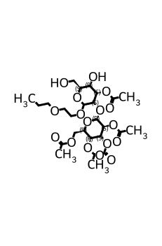 CCCOCCOC1O[C@@H](CO)[C@@H](O)[C@H](OC(C)=O)[C@@H]1O[C@H]1O[C@H](COC(C)=O)[C@@H](OC(C)=O)[C@H](OC=O)[C@@H]1OC(C)=O